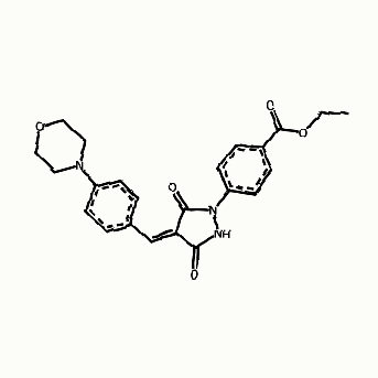 CCOC(=O)c1ccc(N2NC(=O)C(=Cc3ccc(N4CCOCC4)cc3)C2=O)cc1